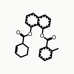 Cc1ccccc1C(=O)Oc1cccc2cccc(OC(=O)C3C=CCCC3)c12